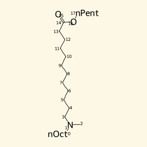 CCCCCCCCN(C)CCCCCCCCCCCC(=O)OCCCCC